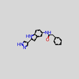 O=C(Cc1ccccc1)Nc1ccc2[nH]c(-c3cn[nH]c3)cc2c1